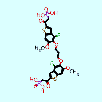 COc1cc2sc(C(=O)CP(=O)(O)O)cc2c(F)c1OCCCOc1c(OC)cc2sc(C(=O)CP(=O)(O)O)cc2c1F